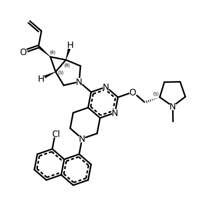 C=CC(=O)[C@H]1[C@@H]2CN(c3nc(OC[C@@H]4CCCN4C)nc4c3CCN(c3cccc5cccc(Cl)c35)C4)C[C@@H]21